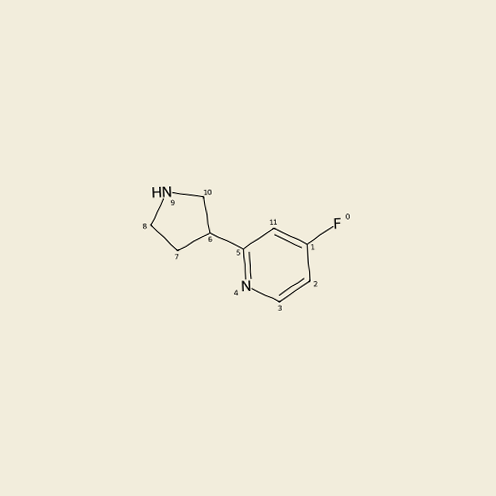 Fc1ccnc(C2CCNC2)c1